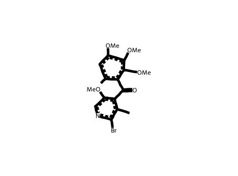 COc1cc(C)c(C(=O)c2c(OC)cnc(Br)c2C)c(OC)c1OC